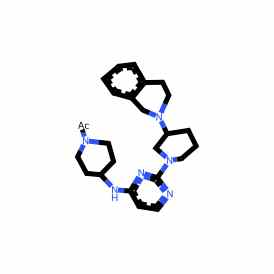 CC(=O)N1CCC(Nc2ccnc(N3CCCC(N4CCc5ccccc5C4)C3)n2)CC1